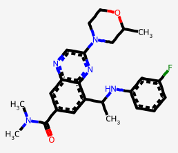 CC1CN(c2cnc3cc(C(=O)N(C)C)cc(C(C)Nc4cccc(F)c4)c3n2)CCO1